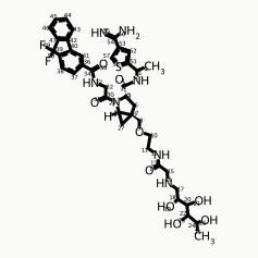 CC(NC(=O)[C@@H]1C[C@]2(COCCNC(=O)CNCC(O)C(O)C(O)C(C)O)C[C@@H]2N1C(=O)CNC(=O)c1ccc2c(c1)-c1ccccc1C2(F)F)c1cc(C(=N)N)cs1